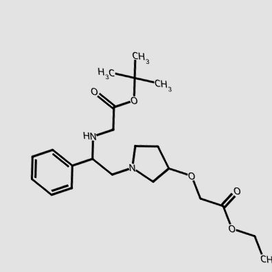 CCOC(=O)COC1CCN(CC(NCC(=O)OC(C)(C)C)c2ccccc2)C1